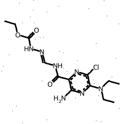 CCOC(=O)NN=CNC(=O)c1nc(Cl)c(N(CC)CC)nc1N